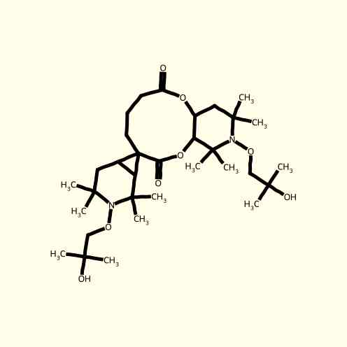 CC(C)(O)CON1C(C)(C)CC2OC(=O)CCCC3(C(=O)OC2C1(C)C)C1CC(C)(C)N(OCC(C)(C)O)C(C)(C)C13